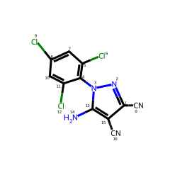 N#Cc1nn(-c2c(Cl)cc(Cl)cc2Cl)c(N)c1C#N